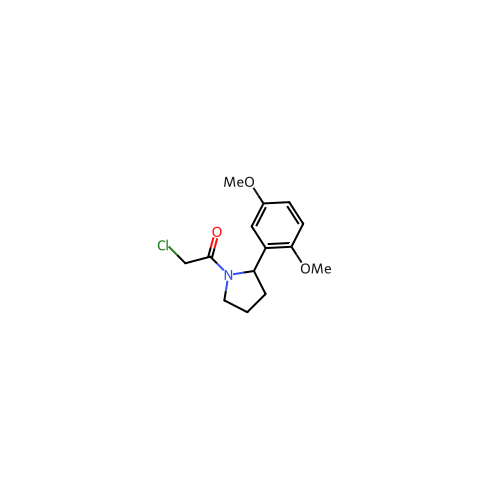 COc1ccc(OC)c(C2CCCN2C(=O)CCl)c1